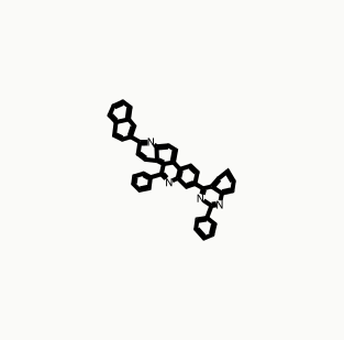 c1ccc(-c2nc(-c3ccc4c(c3)nc(-c3ccccc3)c3c5ccc(-c6ccc7ccccc7c6)nc5ccc43)c3ccccc3n2)cc1